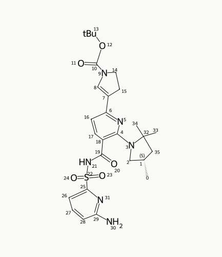 C[C@@H]1CN(c2nc(C3=CN(C(=O)OC(C)(C)C)CC3)ccc2C(=O)NS(=O)(=O)c2cccc(N)n2)C(C)(C)C1